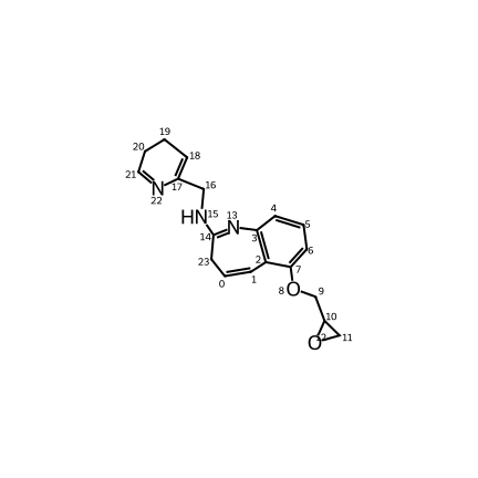 C1=Cc2c(cccc2OCC2CO2)N=C(NCC2=CCCC=N2)C1